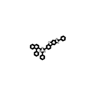 c1ccc(-c2nc(-c3ccc4c(c3)oc3cc5nc(-c6ccccc6)sc5cc34)nc(-c3ccc4ccccc4c3-c3ccccc3)n2)cc1